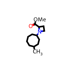 COC(=O)C1CCN1C1CCCCC(C)CC1